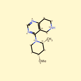 CO[C@@H]1CCN(c2ncnc3c2CNCC3)[C@H](C)C1